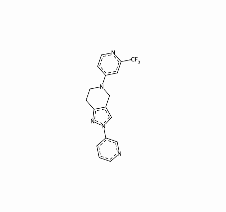 FC(F)(F)c1cc(N2CCc3nn(-c4cccnc4)cc3C2)ccn1